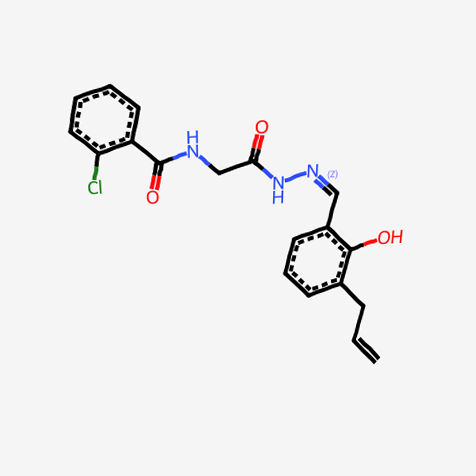 C=CCc1cccc(/C=N\NC(=O)CNC(=O)c2ccccc2Cl)c1O